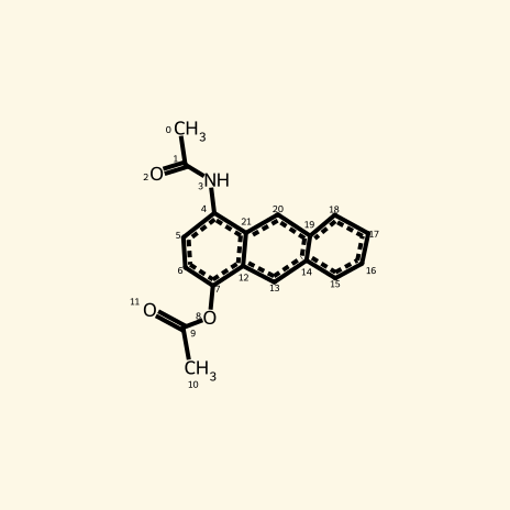 CC(=O)Nc1ccc(OC(C)=O)c2cc3ccccc3cc12